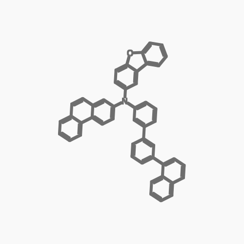 c1cc(-c2cccc(N(c3ccc4c(ccc5ccccc54)c3)c3ccc4oc5ccccc5c4c3)c2)cc(-c2cccc3ccccc23)c1